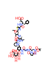 CCO[C@H](C[C@H](C(C)C)N(C)C(=O)[C@@H](NC(=O)[C@H]1CCCC[N+]1(C)Cc1ccc(O[C@@H]2O[C@H](C(=O)O)[C@@H](O)[C@H](O)[C@H]2O)c(NC(=O)CCNC(=O)C(CNC(=O)OC(C)(C)C)N2C(=O)C=CC2=O)c1)[C@@H](C)CC)c1nc(C(=O)N[C@@H](Cc2ccccc2)C[C@H](C)C(=O)O)cs1